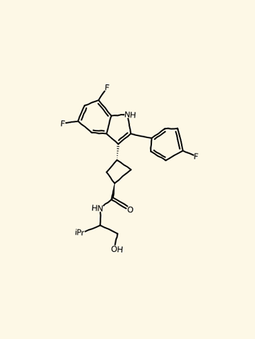 CC(C)C(CO)NC(=O)[C@H]1C[C@H](c2c(-c3ccc(F)cc3)[nH]c3c(F)cc(F)cc32)C1